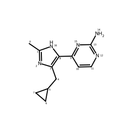 Cc1nc(CC2CC2)c(-c2ccnc(N)n2)[nH]1